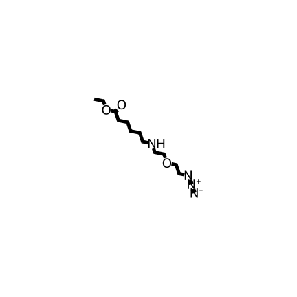 CCOC(=O)CCCCCNCCOCCN=[N+]=[N-]